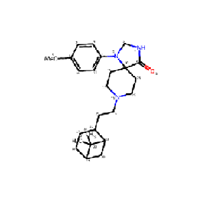 COc1ccc(N2CNC(=O)C23CCN(CCC2CCC4CC2C4(C)C)CC3)cc1